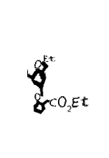 CCOC(=O)Cc1ccccc1OCc1cc(I)c2oc(CC)cc2c1